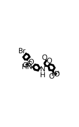 O=c1cc(Nc2ccc(NS(=O)(=O)c3ccc(Br)cc3)cc2)c2cc([N+](=O)[O-])ccc2o1